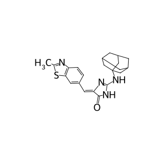 Cc1nc2ccc(/C=C3\N=C(NC45CC6CC(CC(C6)C4)C5)NC3=O)cc2s1